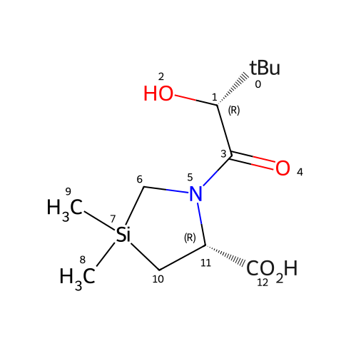 CC(C)(C)[C@@H](O)C(=O)N1C[Si](C)(C)C[C@H]1C(=O)O